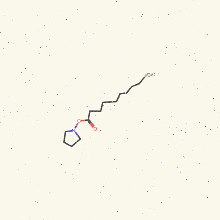 CCCCCCCCCCCCCCCCCCC(=O)ON1CCCC1